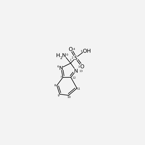 NC1(S(=O)(=O)O)N=c2ccccc2=N1